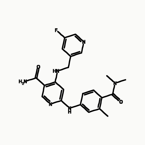 Cc1cc(Nc2cc(NCc3cncc(F)c3)c(C(N)=O)cn2)ccc1C(=O)N(C)C